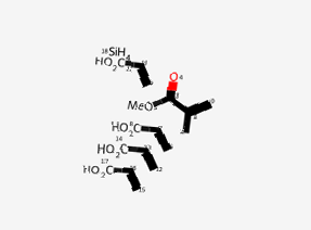 C=C(C)C(=O)OC.C=CC(=O)O.C=CC(=O)O.C=CC(=O)O.C=CC(=O)O.[SiH4]